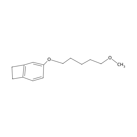 COCCCCCOc1ccc2c(c1)CC2